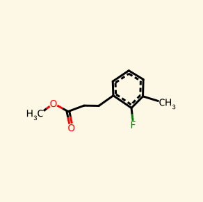 COC(=O)CCc1cccc(C)c1F